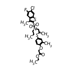 CCCN(C[C@@H](C)Sc1ccc(OCC(=O)OCC)c(C)c1)S(=O)(=O)c1sc2cc(Cl)c(F)cc2c1C